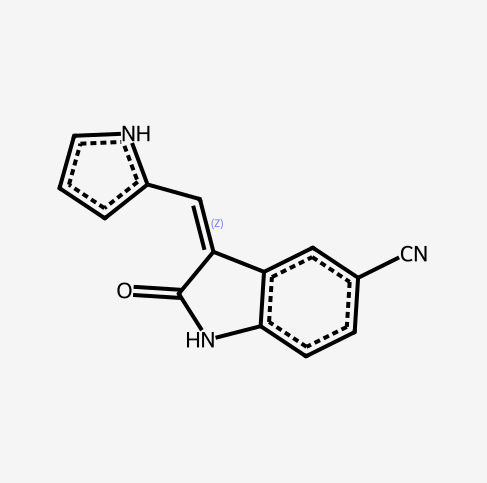 N#Cc1ccc2c(c1)/C(=C/c1ccc[nH]1)C(=O)N2